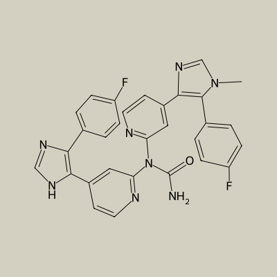 Cn1cnc(-c2ccnc(N(C(N)=O)c3cc(-c4[nH]cnc4-c4ccc(F)cc4)ccn3)c2)c1-c1ccc(F)cc1